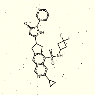 O=c1cc(C2Cc3cc4cnc(C5CC5)cc4c(S(=O)(=O)NC4CC(F)(F)C4)c3C2)[nH]n1-c1cccnc1